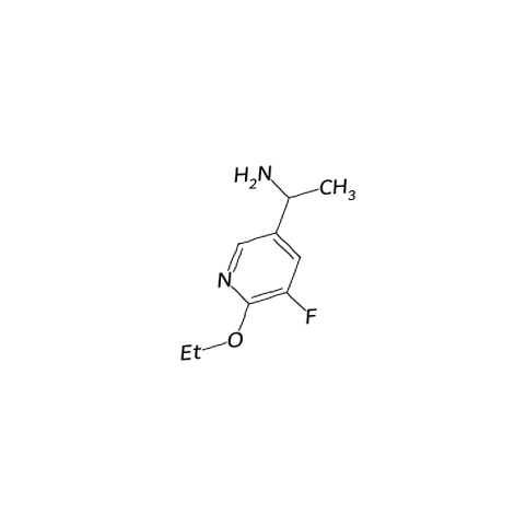 CCOc1ncc(C(C)N)cc1F